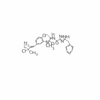 CN1C(=O)[C@H](NC(=O)c2n[nH]c(Cc3ccccc3)n2)COc2ccc(C#CC(C)(C)Cl)cc21